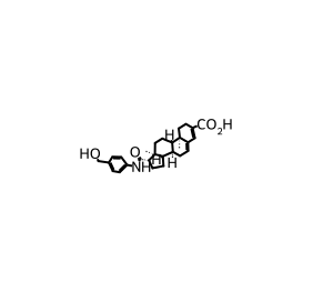 C[C@]12CC[C@H]3[C@@H](CC=C4C=C(C(=O)O)CC[C@@]43C)[C@@H]1CC[C@@H]2C(=O)Nc1ccc(CO)cc1